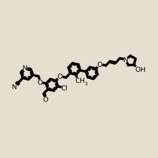 Cc1c(COc2cc(OCc3cncc(C#N)c3)c(C=O)cc2Cl)cccc1-c1cccc(OCC=CCN2CCC(O)C2)c1